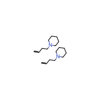 C=CCCN1CCCCC1.C=CCCN1CCCCC1